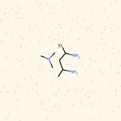 CCC(N)CC(C)N.CN(C)C